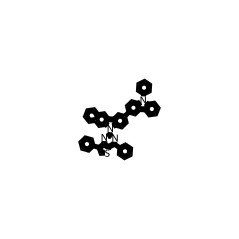 c1ccc(-c2csc3c(-c4ccccc4)nc(-n4c5ccc(-c6ccc7c(c6)c6ccccc6n7-c6ccccc6)cc5c5cc6ccccc6cc54)nc23)cc1